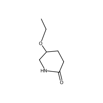 CCOC1CCC(=O)NC1